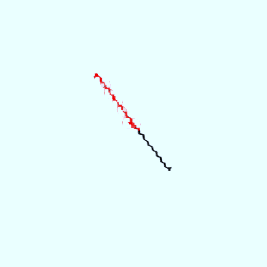 CC(C)CCCCCCCCCCCCCCCOC(=O)CCCOCCOCCOCCOCCC(C)C